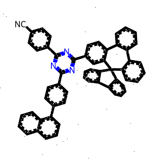 N#Cc1ccc(-c2nc(-c3ccc(-c4cccc5ccccc45)cc3)nc(-c3ccc4c(c3)C3(c5ccccc5-c5ccccc5-4)c4ccccc4-c4ccccc43)n2)cc1